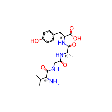 CC(C)[C@H](N)C(=O)NCC(=O)N[C@@H](C)C(=O)N[C@@H](Cc1ccc(O)cc1)C(=O)O